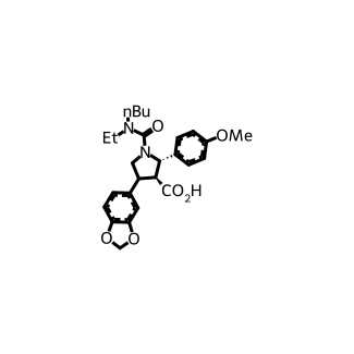 CCCCN(CC)C(=O)N1CC(c2ccc3c(c2)OCO3)[C@H](C(=O)O)[C@H]1c1ccc(OC)cc1